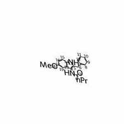 CCCC(=O)Nc1c(Cc2ccccc2)[nH]c2ccc(OC)cc12